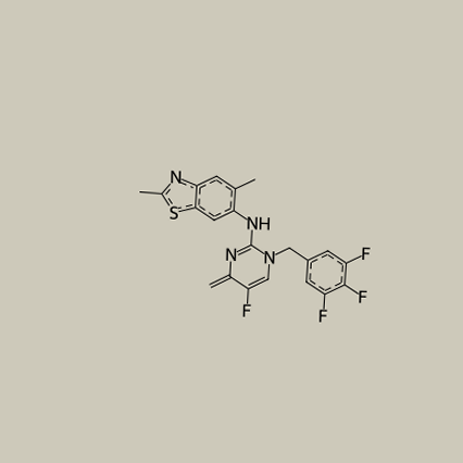 C=C1N=C(Nc2cc3sc(C)nc3cc2C)N(Cc2cc(F)c(F)c(F)c2)C=C1F